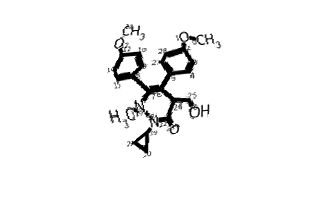 COc1ccc(C2=C(c3ccc(OC)cc3)N(C)N(C3CC3)C(=O)C2CO)cc1